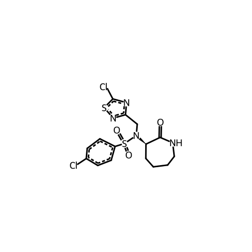 O=C1NCCCC[C@H]1N(Cc1nsc(Cl)n1)S(=O)(=O)c1ccc(Cl)cc1